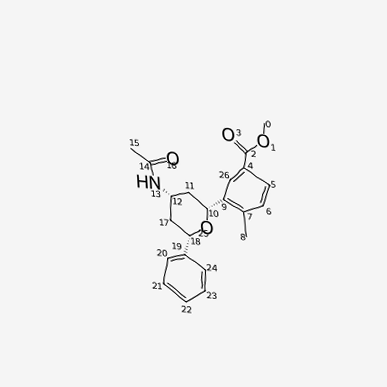 COC(=O)c1ccc(C)c([C@H]2C[C@@H](NC(C)=O)C[C@@H](c3ccccc3)O2)c1